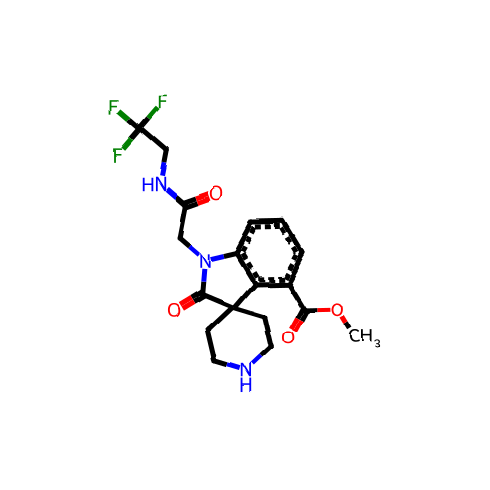 COC(=O)c1cccc2c1C1(CCNCC1)C(=O)N2CC(=O)NCC(F)(F)F